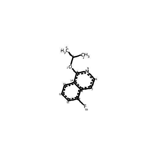 CC(C)Oc1nccc2c(F)cccc12